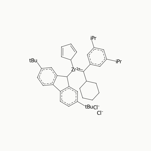 CC(C)c1cc([C](C2CCCCC2)=[Zr+2]([CH]2C=CC=C2)[CH]2c3cc(C(C)(C)C)ccc3-c3ccc(C(C)(C)C)cc32)cc(C(C)C)c1.[Cl-].[Cl-]